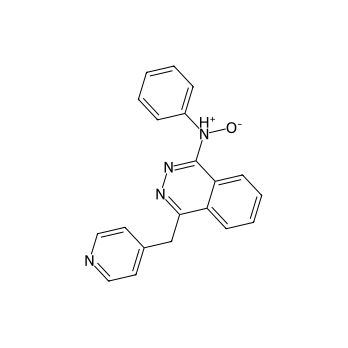 [O-][NH+](c1ccccc1)c1nnc(Cc2ccncc2)c2ccccc12